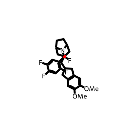 COc1cc2c(cc1OC)CC(CC1(F)CC3CCC(C1)N3Cc1cc(F)c(F)cc1F)C2